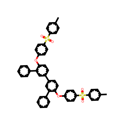 Cc1ccc(S(=O)(=O)c2ccc(Oc3ccc(-c4ccc(Oc5ccc(S(=O)(=O)c6ccc(C)cc6)cc5)c(-c5ccccc5)c4)cc3-c3ccccc3)cc2)cc1